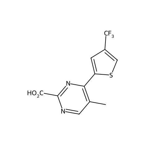 Cc1cnc(C(=O)O)nc1-c1cc(C(F)(F)F)cs1